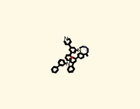 C=C1/C=C\C=C/CN(c2cc(-c3ccccc3)cc(-c3ccncc3)c2)c2cc(-c3ccc4c(c3)c3ccccc3n4-c3cccc(-c4ccccc4)c3)ccc21